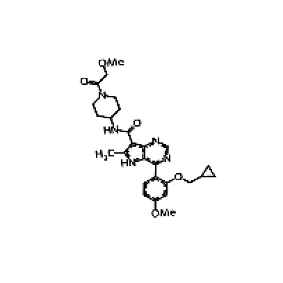 COCC(=O)N1CCC(NC(=O)c2c(C)[nH]c3c(-c4ccc(OC)cc4OCC4CC4)ncnc23)CC1